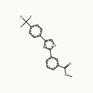 COC(=O)c1cccc(-c2nc(-c3ccc(C(F)(F)F)cc3)co2)c1